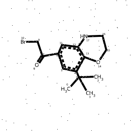 CC(C)(C)c1cc(C(=O)CBr)cc2c1OCCN2